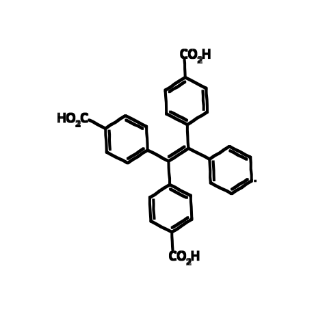 O=C(O)c1ccc(C(=C(c2ccc(C(=O)O)cc2)c2ccc(C(=O)O)cc2)c2cc[c]cc2)cc1